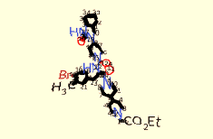 CCOC(=O)CN1CCC(C2CCN(C(=O)C(Cc3ccc(Br)c(C)c3)NC(=O)N3CCC(N4Cc5ccccc5NC4=O)CC3)CC2)CC1